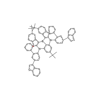 CC(C)(C)c1cc2c3c(c1)N(c1ccc(-c4csc5ccccc45)cc1-c1ccccc1)c1sc4ccc(C(C)(C)C)cc4c1B3c1c(sc3ccc(C(C)(C)C)cc13)N2c1ccc(-c2csc3ccccc23)cc1-c1ccccc1